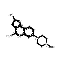 CCCc1cc2c(N)nc3cc(N4CCN(C(C)(C)C)CC4)ccc3c2s1